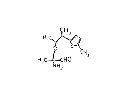 Cc1ccc([C@H](C)[C@H](C)OC[C@@](C)(N)C=O)s1